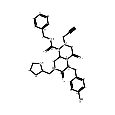 C#CCN1CC(=O)N2C(CN(CC3CCCO3)C(=O)[C@@H]2Cc2ccc(O)cc2)N1C(=O)NCc1ccccc1